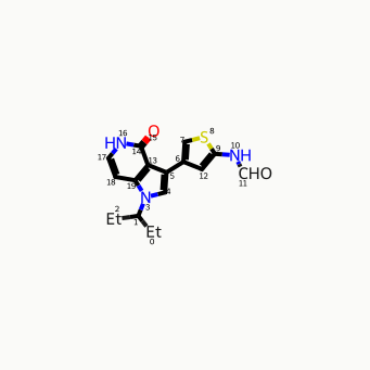 CCC(CC)n1cc(-c2csc(NC=O)c2)c2c(=O)[nH]ccc21